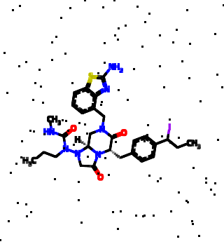 CCCN(C(=O)NC)N1CC(=O)N2[C@@H](Cc3ccc(C(I)CC)cc3)C(=O)N(Cc3cccc4sc(N)nc34)C[C@@H]21